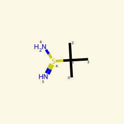 CC(C)(C)S(=N)N